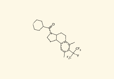 Cc1cc2c(c(C)c1C(F)(C(F)(F)F)C(F)(F)F)CCC1C2CCN1C(=O)C1CCCCC1